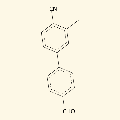 Cc1cc(-c2ccc(C=O)cc2)ccc1C#N